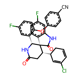 N#Cc1ccc(Oc2ccc(F)cc2[C@H]2NC(=O)C[C@@H](C3C=C(Cl)C=CC3)[C@]23C(=O)Nc2cc(F)ccc23)cc1